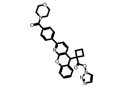 O=C(c1ccc(-c2ccc3c(n2)Oc2ccccc2C3C2(C(=O)On3ccnn3)CCC2)cc1)N1CCOCC1